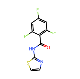 O=C(Nc1nccs1)c1c(F)cc(F)cc1F